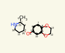 C[C@H]1C[C@H](Oc2ccc3c(c2)OCCO3)CCN1